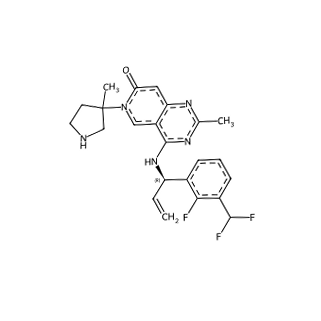 C=C[C@@H](Nc1nc(C)nc2cc(=O)n(C3(C)CCNC3)cc12)c1cccc(C(F)F)c1F